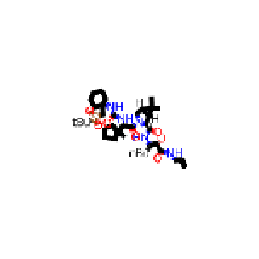 C=CCNC(=O)C(=O)C(CCCC)NC(=O)[C@@H]1[C@@H]2[C@H](CN1C(=O)[C@@H](NC(=O)NC1(CS(=O)(=O)C(C)(C)C)CCCCC1)C1(C)CCCC1)C2(C)C